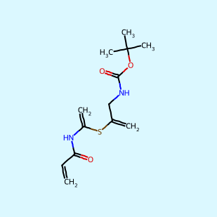 C=CC(=O)NC(=C)SC(=C)CNC(=O)OC(C)(C)C